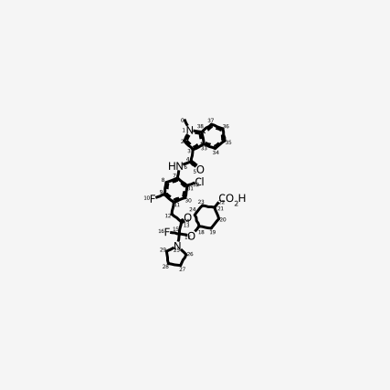 Cn1cc(C(=O)Nc2cc(F)c(CC(=O)C(F)(OC3CCC(C(=O)O)CC3)N3CCCC3)cc2Cl)c2ccccc21